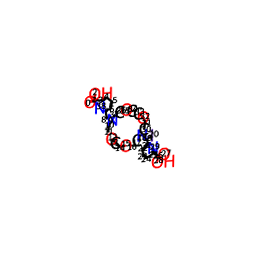 O=C(O)c1cccc(CN2CCOCCOCCN(C(I)c3cccc(C(=O)O)n3)CCOCCOCC2)n1